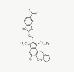 CCOC(=O)c1c(CSc2nc3cc(C(F)F)ccc3[nH]2)n(C)c2cc(Br)c(O)c(CN3CCCC3)c12